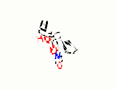 CCC1C=CCC(c2ccccc2)C1(CCN1CCOCC1)C(=O)O